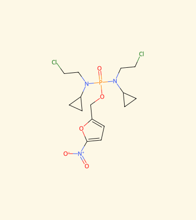 O=[N+]([O-])c1ccc(COP(=O)(N(CCCl)C2CC2)N(CCCl)C2CC2)o1